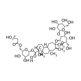 C=C1C[C@@]2(C)CC[C@H]3[C@@](C)(CCC[C@@]3(C)C(=O)O[C@@H]3O[C@H](COC(=O)CC(=O)O)[C@@H](O)[C@H](O)[C@H]3O)[C@@H]2CCC1(C)O[C@@H]1O[C@H](CO)[C@@H](O)[C@H](O)[C@H]1O[C@@H]1O[C@H](CO)[C@@H](O)[C@H](O)[C@H]1O